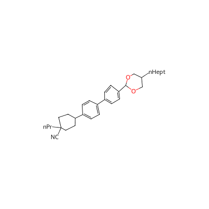 CCCCCCCC1COC(c2ccc(-c3ccc(C4CCC(C#N)(CCC)CC4)cc3)cc2)OC1